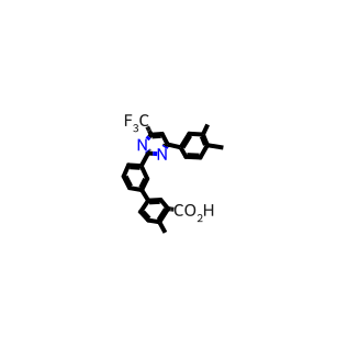 Cc1ccc(-c2cc(C(F)(F)F)nc(-c3cccc(-c4ccc(C)c(C(=O)O)c4)c3)n2)cc1C